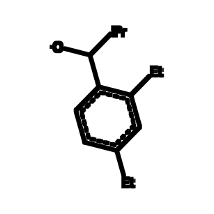 CCc1ccc(C([O])C(C)C)c(CC)c1